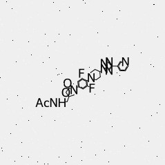 CC(=O)NCC1CN(c2cc(F)c(N3CCC(n4nnc(-c5cccnc5)n4)CC3)c(F)c2)C(=O)O1